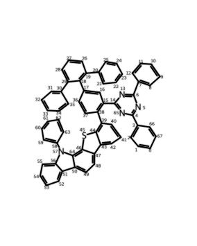 c1ccc(-c2nc(-c3ccccc3)nc(-c3cc(-c4c(-c5ccccc5)cccc4-c4ccccc4)ccc3-c3cccc4c3sc3c4ccc4c5ccccc5n(-c5ccccc5)c43)n2)cc1